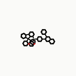 c1ccc(-c2cc3ccccc3cc2-c2ccc(N(c3ccccc3)c3cccc4c3C(c3ccccc3)(c3ccccc3)c3ccccc3-4)cc2)cc1